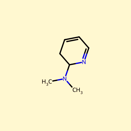 CN(C)C1CC=CC=N1